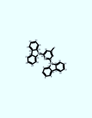 Cc1cc(-n2c3ccccc3c3ccccc32)nc(-n2c3ccccc3c3ccccc32)c1